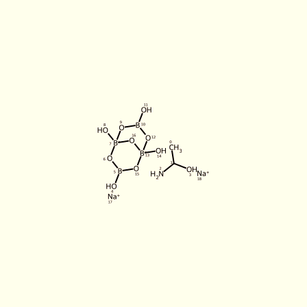 CC(N)O.OB1O[B-]2(O)OB(O)O[B-](O)(O1)O2.[Na+].[Na+]